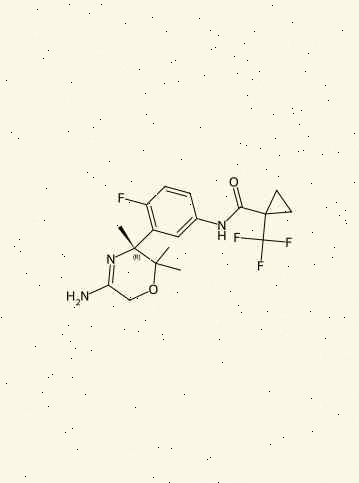 CC1(C)OCC(N)=N[C@]1(C)c1cc(NC(=O)C2(C(F)(F)F)CC2)ccc1F